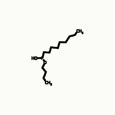 CCCCCCCCCP(O)OCCCC